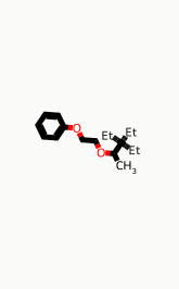 CCC(CC)(CC)C(C)OCCOc1ccccc1